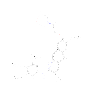 COc1cc2cc3cc(C#N)c(Nc4cc(OC)c(OC)c(OC)c4)nc3cc2cc1OCCN1CCOCC1